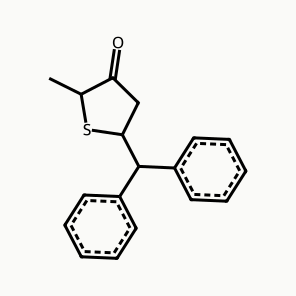 CC1SC(C(c2ccccc2)c2ccccc2)CC1=O